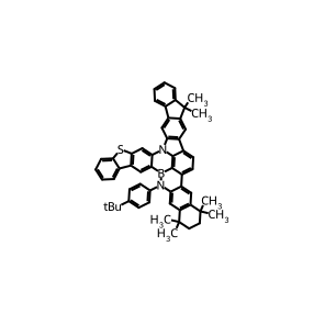 CC(C)(C)c1ccc(N2B3c4cc5c(cc4-n4c6cc7c(cc6c6ccc(c3c64)-c3cc4c(cc32)C(C)(C)CCC4(C)C)C(C)(C)c2ccccc2-7)sc2ccccc25)cc1